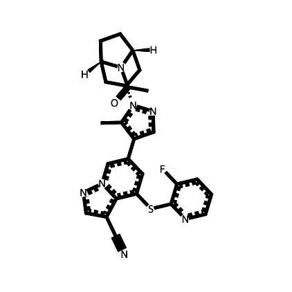 CC(=O)N1[C@@H]2CC[C@H]1C[C@@H](n1ncc(-c3cc(Sc4ncccc4F)c4c(C#N)cnn4c3)c1C)C2